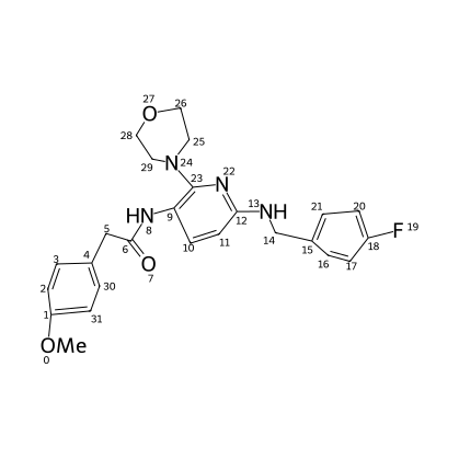 COc1ccc(CC(=O)Nc2ccc(NCc3ccc(F)cc3)nc2N2CCOCC2)cc1